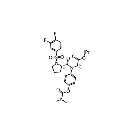 CC(C)OC(=O)[C@H](C)N(C(=O)[C@@H]1CCCN1S(=O)(=O)c1ccc(F)c(F)c1)c1ccc(OC(=O)N(C)C)cc1